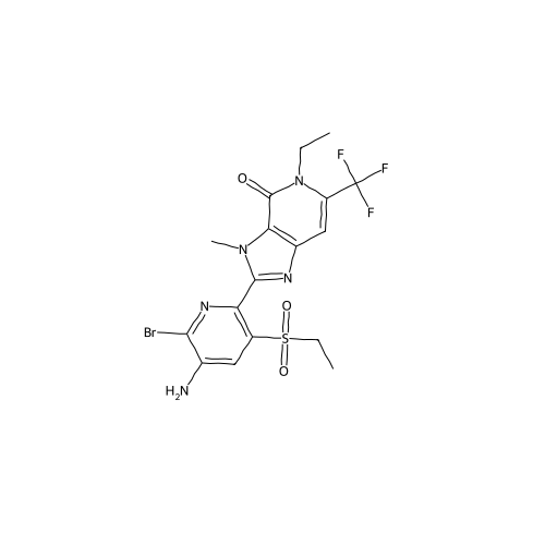 CCn1c(C(F)(F)F)cc2nc(-c3nc(Br)c(N)cc3S(=O)(=O)CC)n(C)c2c1=O